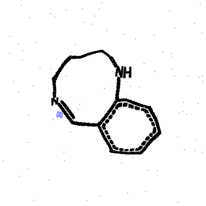 C1=N\CCCNc2ccccc2/1